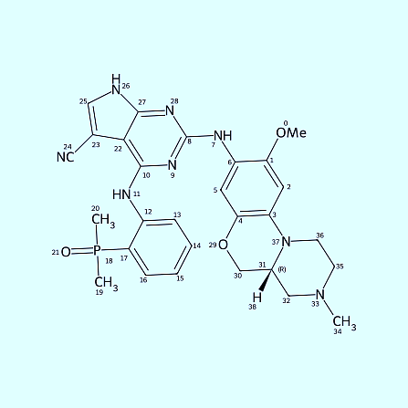 COc1cc2c(cc1Nc1nc(Nc3ccccc3P(C)(C)=O)c3c(C#N)c[nH]c3n1)OC[C@H]1CN(C)CCN21